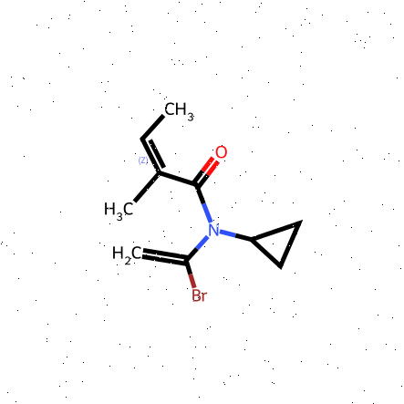 C=C(Br)N(C(=O)/C(C)=C\C)C1CC1